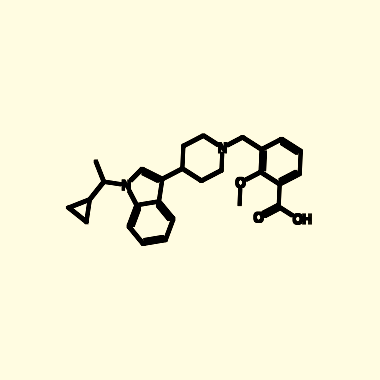 COc1c(CN2CCC(c3cn(C(C)C4CC4)c4ccccc34)CC2)cccc1C(=O)O